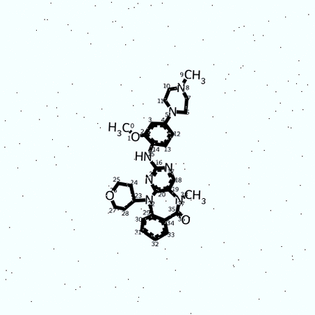 COc1cc(N2CCN(C)CC2)ccc1Nc1ncc2c(n1)N(C1CCOCC1)c1ccccc1C(=O)N2C